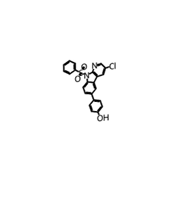 O=S(=O)(c1ccccc1)n1c2ccc(-c3ccc(O)cc3)cc2c2cc(Cl)cnc21